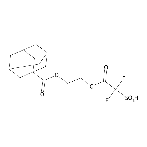 O=C(OCCOC(=O)C(F)(F)S(=O)(=O)O)C12CC3CC(CC(C3)C1)C2